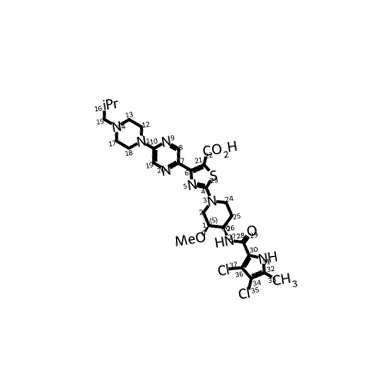 CO[C@H]1CN(c2nc(-c3cnc(N4CCN(CC(C)C)CC4)cn3)c(C(=O)O)s2)CC[C@H]1NC(=O)c1[nH]c(C)c(Cl)c1Cl